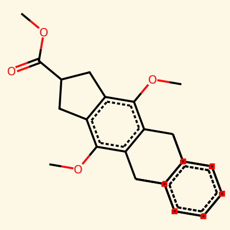 COC(=O)C1Cc2c(c(OC)c3c(c2OC)C2c4ccccc4C3c3ccccc32)C1